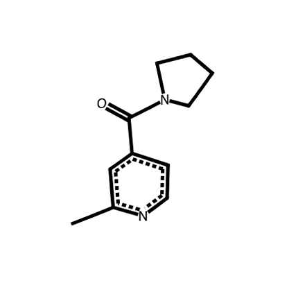 Cc1cc(C(=O)N2CCCC2)ccn1